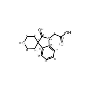 O=C(O)CN1C(=O)C2(CCOCC2)c2ccccc21